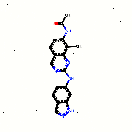 CC(=O)Nc1ccc2cnc(Nc3ccc4cn[nH]c4c3)nc2c1C